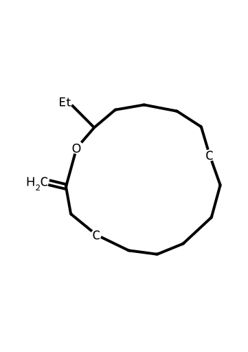 C=C1CCCCCCCCCCCCC(CC)O1